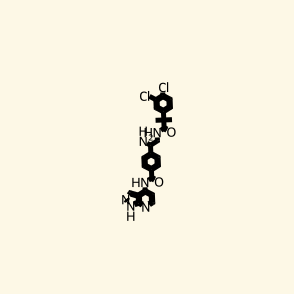 CC(C)(C(=O)NCC(N)c1ccc(C(=O)Nc2ccnc3[nH]ncc23)cc1)c1ccc(Cl)c(Cl)c1